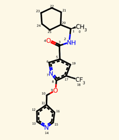 C[C@@H](NC(=O)c1cnc(OCc2ccncc2)c(C(F)(F)F)c1)C1CCCCC1